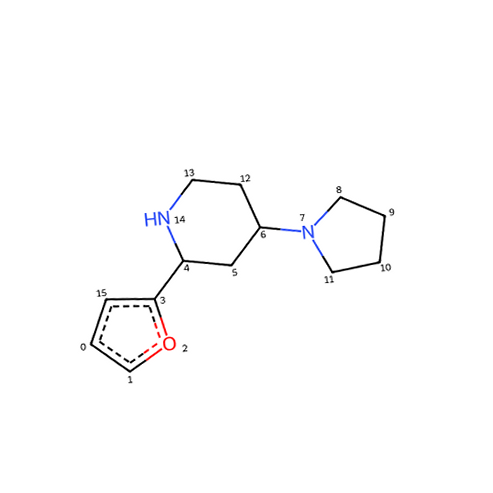 c1coc(C2CC(N3CCCC3)CCN2)c1